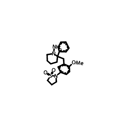 COc1ccc(N2CCCS2(=O)=O)cc1CC1(c2ccccc2)CCCCN1N